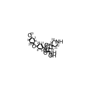 COc1ccc(Oc2ccc(S(=O)(=O)C3(C(=O)NO)CC4(CCNCC4)C3)cc2)cc1